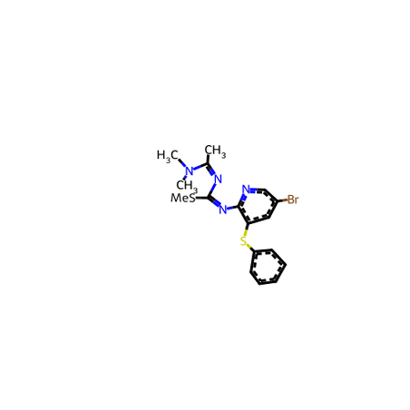 CSC(=Nc1ncc(Br)cc1Sc1ccccc1)N=C(C)N(C)C